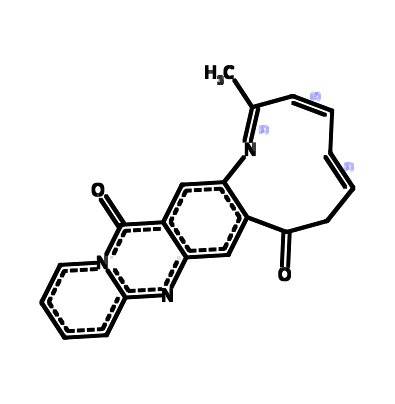 CC1=N\c2cc3c(=O)n4ccccc4nc3cc2C(=O)C/C=C/C=C\1